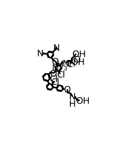 CC(O)(CNCc1cc(Cl)c(OCc2cccc(-c3cccc(-c4ccc(OCCNCCO)cc4)c3Cl)c2Cl)nc1OCc1cc(C#N)cc(C#N)c1)CC(=O)O